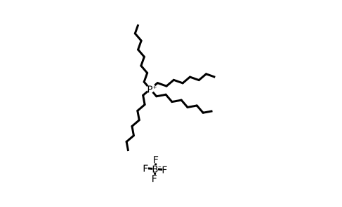 CCCCCCCC[P+](CCCCCCCC)(CCCCCCCC)CCCCCCCC.F[B-](F)(F)F